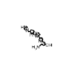 NCCC1CC(O)CN1c1ccc(-c2ccnc(Nc3cccc(CN4CCNCC4)c3)n2)cn1